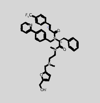 CN(CCN(C)C(=O)[C@H](Cc1ccccc1)N(Cc1ccc(-c2ccccn2)cc1)C(=O)/C=C/c1ccc(C(F)(F)F)cc1)Cc1ccc(CO)o1